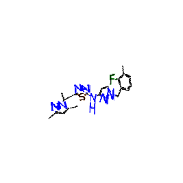 Cc1cc(C)n(C(C)c2nnc(Nc3ccn(Cc4cccc(C)c4F)n3)s2)n1